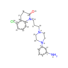 Nc1cccc(N2CCN(CCCN3C(=O)CCc4c(Cl)cccc43)CC2)c1